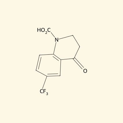 O=C1CCN(C(=O)O)c2ccc(C(F)(F)F)cc21